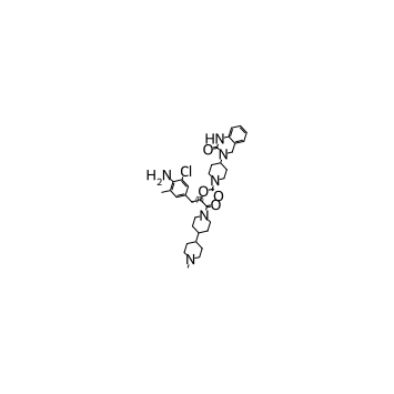 Cc1cc(C[C@@H](OC(=O)N2CCC(N3Cc4ccccc4NC3=O)CC2)C(=O)N2CCC(C3CCN(C)CC3)CC2)cc(Cl)c1N